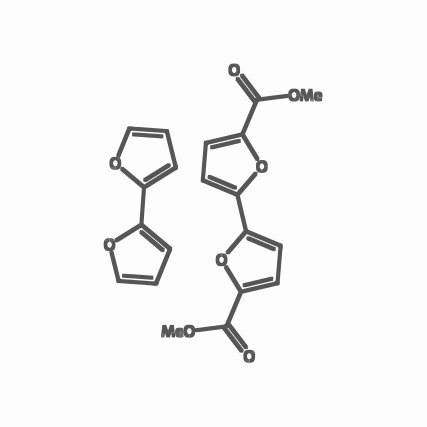 COC(=O)c1ccc(-c2ccc(C(=O)OC)o2)o1.c1coc(-c2ccco2)c1